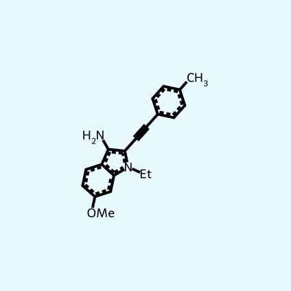 CCn1c(C#Cc2ccc(C)cc2)c(N)c2ccc(OC)cc21